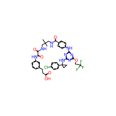 CC(C)(CNC(=O)C(=O)Nc1cccc(CCC(=O)O)c1)CNC(=O)c1ccc(Nc2nc(NC3(c4ccc(Cl)cc4)CC3)nc(OCC(F)(F)F)n2)cc1